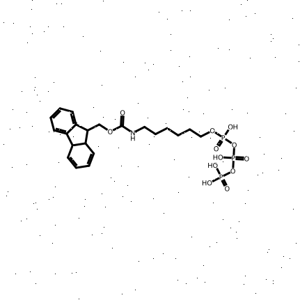 O=C(NCCCCCCOP(=O)(O)OP(=O)(O)OP(=O)(O)O)OCC1c2ccccc2C2C=CC=CC21